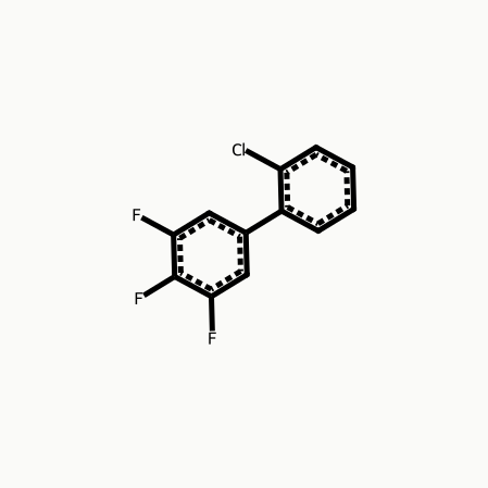 Fc1cc(-c2ccccc2Cl)cc(F)c1F